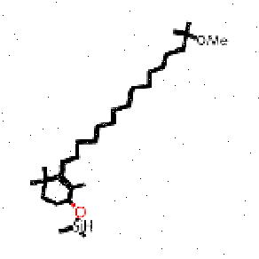 COC(C)(C)CCCCCCCCCCCCCCC1=C(C)C(O[SiH](C)C)CCC1(C)C